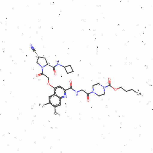 CCCCOC(=O)N1CCN(C(=O)CNC(=O)c2cc(OCC(=O)N3C[C@H](C#N)C[C@H]3C(=O)NC3CCC3)c3cc(C)c(C)cc3n2)CC1